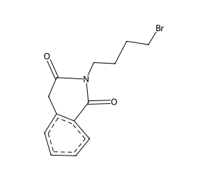 O=C1Cc2ccccc2C(=O)N1CCCCBr